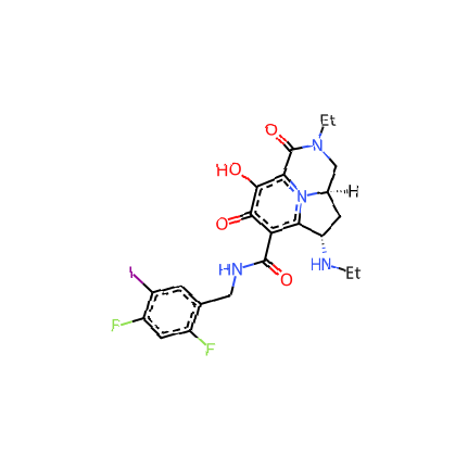 CCN[C@H]1C[C@@H]2CN(CC)C(=O)c3c(O)c(=O)c(C(=O)NCc4cc(I)c(F)cc4F)c1n32